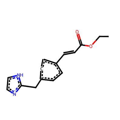 CCOC(=O)C=Cc1ccc(Cc2ncc[nH]2)cc1